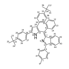 Cc1ccc(C2=N/C(=C(/c3ccccc3)c3[nH]c(-c4ccc(C(C)(C)C)cc4)cc3-c3ccc(C(C)(C)C)cc3)c3ccccc32)cc1